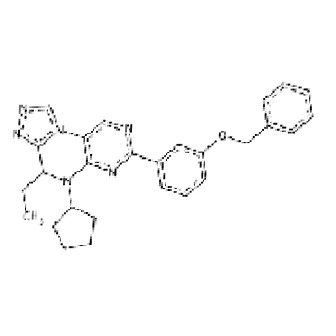 CCC1c2nncn2-c2cnc(-c3cccc(OCc4ccccc4)c3)nc2N1C1CCCC1